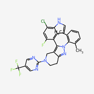 Cc1cccc(C)c1-n1nc2c(c1-c1c(F)cc(Cl)c3[nH]ccc13)CN(c1ncc(C(F)(F)F)cn1)CC2